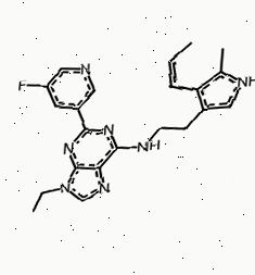 C/C=C\c1c(CCNc2nc(-c3cncc(F)c3)nc3c2ncn3CC)c[nH]c1C